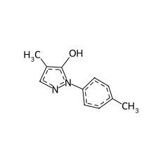 Cc1ccc(-n2ncc(C)c2O)cc1